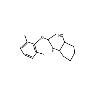 Cc1cccc(C)c1OC(C)NC1CCCCC1O